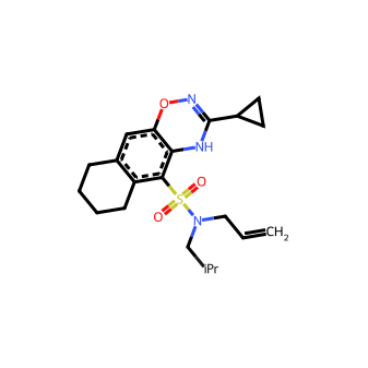 C=CCN(CC(C)C)S(=O)(=O)c1c2c(cc3c1NC(C1CC1)=NO3)CCCC2